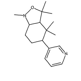 CN1OC(C)(C)C2C1CCC(c1cccnc1)C2(C)C